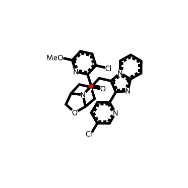 COc1ccc(Cl)c(C(=O)N2C3COC2CN(Cc2c(-c4ccc(Cl)cn4)nc4ccccn24)C3)n1